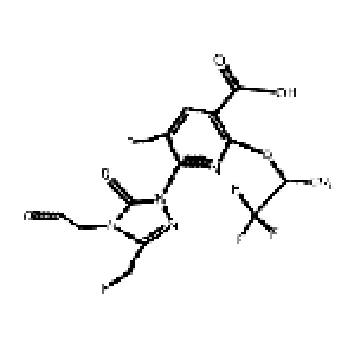 C[C@H](Oc1nc(-n2nc(CF)n(CC=O)c2=O)c(F)cc1C(=O)O)C(F)(F)F